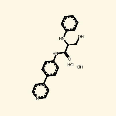 Cl.Cl.O=C(Nc1ccc(-c2ccncc2)cc1)[C@H](CO)Nc1ccccc1